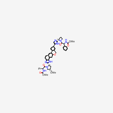 COC[C@H]1C[C@@H](c2nc3ccc4cc5c(cc4c3[nH]2)OCc2cc(-c3cnc([C@@H]4CCCN4C(=O)C(NC(=O)OC)c4ccccc4)[nH]3)ccc2-5)N(C(=O)C(NC(=O)OC)C(C)C)C1